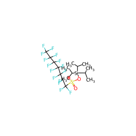 CC(C)[Si](OS(=O)(=O)C(F)(F)C(F)(F)C(F)(F)C(F)(F)C(F)(F)C(F)(F)C(F)(F)F)(C(C)C)C(C)C